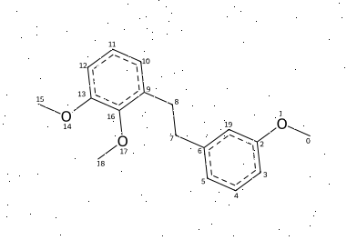 COc1cccc(CCc2cccc(OC)c2OC)c1